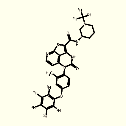 [2H]c1c([2H])c([2H])c(Oc2ccc(N3C(=O)Nc4c(C(=O)N[C@@H]5CCCN(C([2H])([2H])[2H])C5)sc5nccc3c45)c(C)c2)c([2H])c1[2H]